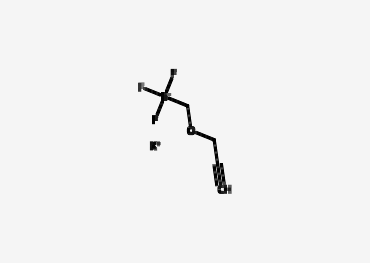 C#CCOC[B-](F)(F)F.[K+]